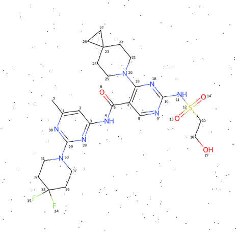 Cc1cc(NC(=O)c2cnc(NS(=O)(=O)CCO)nc2N2CCC3(CC2)CC3)nc(N2CCC(F)(F)CC2)n1